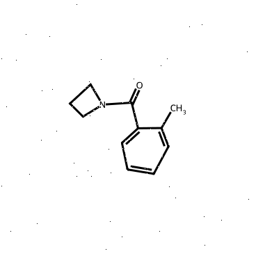 Cc1ccccc1C(=O)N1CCC1